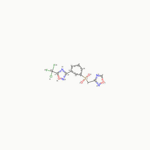 O=S(=O)(Cc1ncon1)c1[c]ccc(-c2noc(C(F)(F)Cl)n2)c1